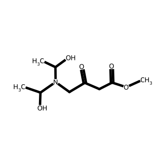 COC(=O)CC(=O)CN(C(C)O)C(C)O